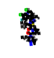 CC(C)C1=C(C(=O)N2[C@@H]3C[C@H]3C[C@H]2C(=O)N2CC3(CC3)NC[C@@H]2C)SC2=N[C@@](C)(c3ccc(Cl)nc3)[C@@H](c3ccc(Cl)c(F)c3)N21